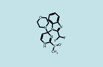 C[S+]([O-])C1=NC(N2CCOCC2)(n2c(C(F)F)nc3ccccc32)C=CN1